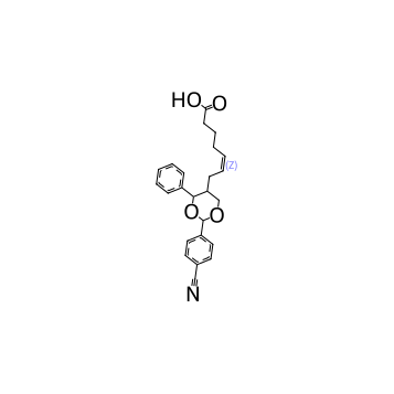 N#Cc1ccc(C2OCC(C/C=C\CCCC(=O)O)C(c3ccccc3)O2)cc1